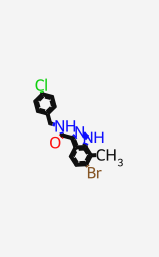 Cc1c(Br)ccc2c(C(=O)NCc3ccc(Cl)cc3)n[nH]c12